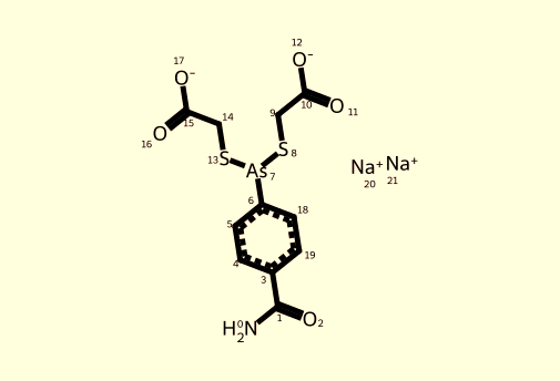 NC(=O)c1ccc([As](SCC(=O)[O-])SCC(=O)[O-])cc1.[Na+].[Na+]